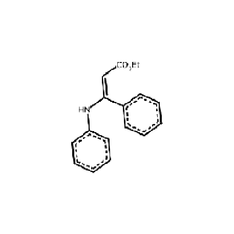 CCOC(=O)/C=C(/Nc1ccccc1)c1ccccc1